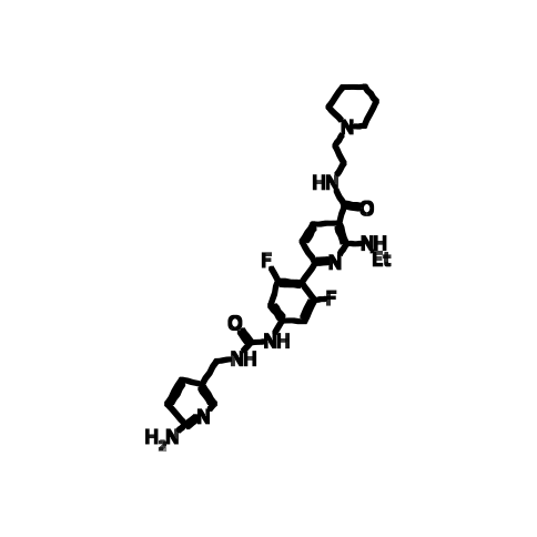 CCNc1nc(-c2c(F)cc(NC(=O)NCc3ccc(N)nc3)cc2F)ccc1C(=O)NCCN1CCCCC1